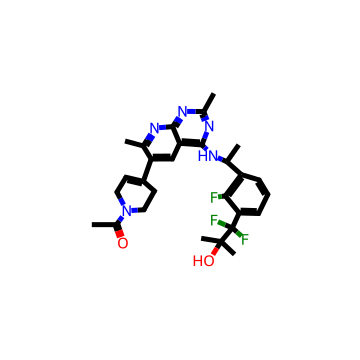 CC(=O)N1CC=C(c2cc3c(NC(C)c4cccc(C(F)(F)C(C)(C)O)c4F)nc(C)nc3nc2C)CC1